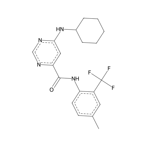 Cc1ccc(NC(=O)c2cc(NC3CCCCC3)ncn2)c(C(F)(F)F)c1